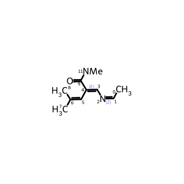 C/C=N\C=C(/C=C(C)C)C(=O)NC